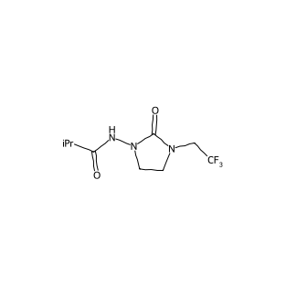 CC(C)C(=O)NN1CCN(CC(F)(F)F)C1=O